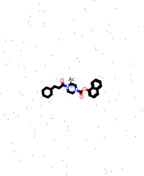 CC(=O)[C@@H]1CN(C(=O)Oc2cccc3ccccc23)CCN1C(=O)CCC1CCCCC1